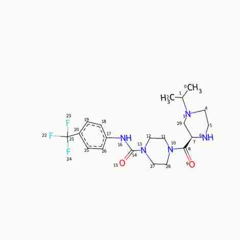 CC(C)N1CCN[C@@H](C(=O)N2CCN(C(=O)Nc3ccc(C(F)(F)F)cc3)CC2)C1